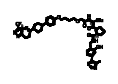 Cc1ncsc1-c1ccc(CNC(=O)[C@@H]2CCCN2C(=O)[C@@H](NC(=O)COCCCCOc2ccc(C3CCN(C4=Nn5c(nnc5C(F)(F)F)CC4)CC3)cc2)C(C)(C)C)c(O)c1